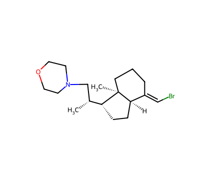 C[C@H](CN1CCOCC1)[C@H]1CC[C@@H]2/C(=C/Br)CCC[C@@]21C